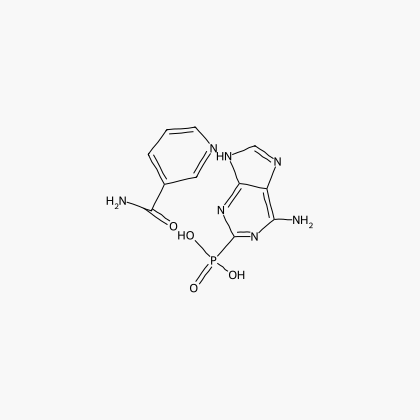 NC(=O)c1cccnc1.Nc1nc(P(=O)(O)O)nc2[nH]cnc12